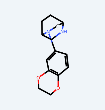 c1cc2c(cc1N1CC3CCC1CN3)OCCO2